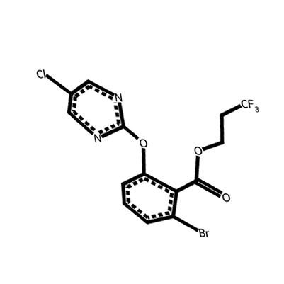 O=C(OCCC(F)(F)F)c1c(Br)cccc1Oc1ncc(Cl)cn1